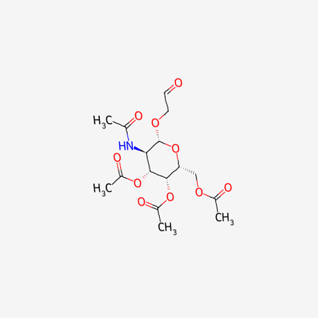 CC(=O)N[C@H]1[C@H](OCC=O)O[C@H](COC(C)=O)[C@H](OC(C)=O)[C@@H]1OC(C)=O